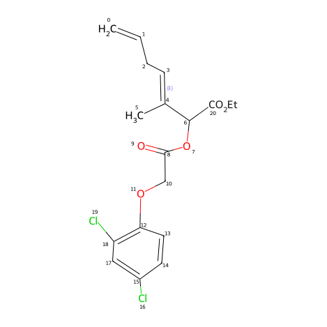 C=CC/C=C(\C)C(OC(=O)COc1ccc(Cl)cc1Cl)C(=O)OCC